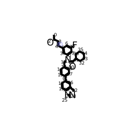 CC(=O)/C=C/c1cc(F)cc(N(Cc2ccc(-c3ccc4c(cnn4C)c3)cc2)C(=O)C2CCCCC2)c1